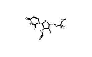 CO[PH](=O)OC[C@H]1O[C@@H](n2ccc(=O)[nH]c2=O)[C@H](OC=O)[C@@H]1F